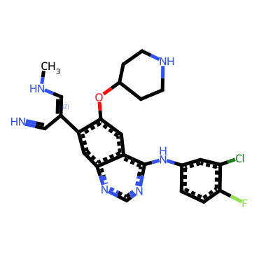 CN/C=C(\C=N)c1cc2ncnc(Nc3ccc(F)c(Cl)c3)c2cc1OC1CCNCC1